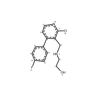 OCCNCc1c(-c2ccc(F)cc2)ccnc1Cl